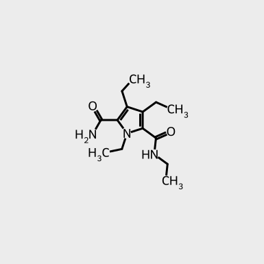 CCNC(=O)c1c(CC)c(CC)c(C(N)=O)n1CC